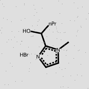 Br.CCCC(O)c1nccn1C